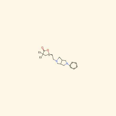 CCC1(CC)C[C@H](CCN2CC3CN(c4ccccc4)CC3C2)OC1=O